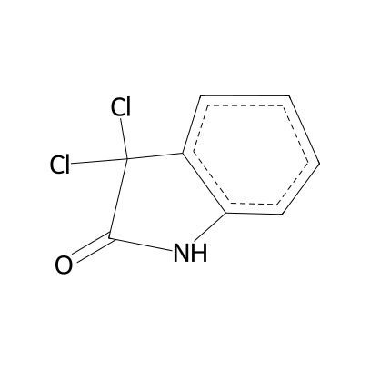 O=C1Nc2ccccc2C1(Cl)Cl